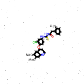 COc1cc2nccc(Oc3ccc(NC(=S)NC(=O)Cc4ccccc4[N+](=O)[O-])cc3Cl)c2cc1OC